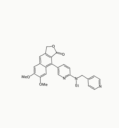 CCN(Cc1ccncc1)c1ccc(-c2c3c(cc4cc(OC)c(OC)cc24)COC3=O)cn1